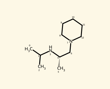 CC(C)N[C@@H](C)CN1CCCCC1